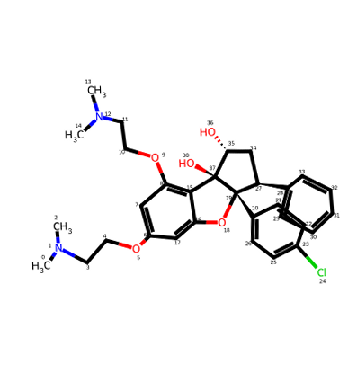 CN(C)CCOc1cc(OCCN(C)C)c2c(c1)O[C@@]1(c3ccc(Cl)cc3)[C@H](c3ccccc3)C[C@@H](O)[C@@]21O